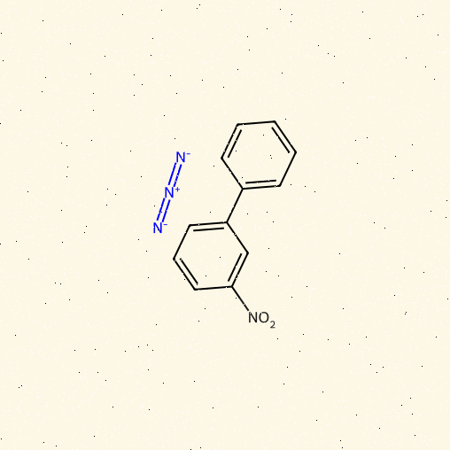 O=[N+]([O-])c1cccc(-c2ccccc2)c1.[N-]=[N+]=[N-]